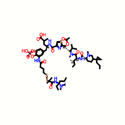 CCCC1(C2CC[C@H](C(=O)N[C@H](C(=O)N(C)[C@H](C[C@@H](OC(C)=O)c3nc(C(=O)N[C@@H](Cc4ccc(OP(=O)(O)O)c(NC(=O)CCCSSC(C)(C)C(=O)NC(CC)(CCC)N(C)I)c4)CC(C)C(=O)O)cs3)C(C)C)[C@@H](C)CC)N(C)C2)CC1